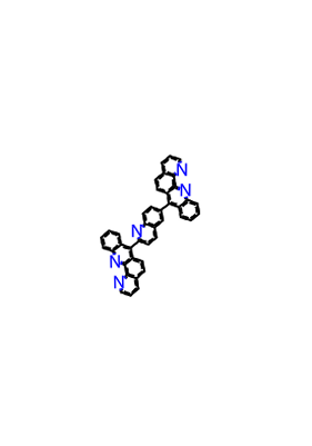 c1cnc2c(c1)ccc1c(-c3ccc4nc(-c5c6ccccc6nc6c5ccc5cccnc56)ccc4c3)c3ccccc3nc12